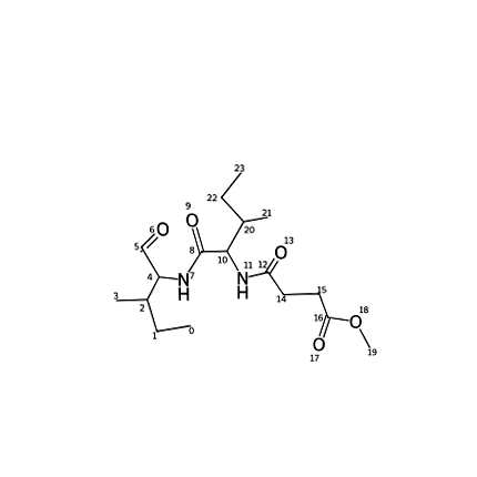 CCC(C)C([C]=O)NC(=O)C(NC(=O)CCC(=O)OC)C(C)CC